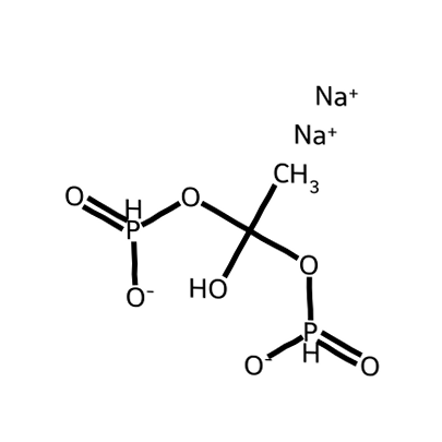 CC(O)(O[PH](=O)[O-])O[PH](=O)[O-].[Na+].[Na+]